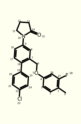 Cc1ccc(OCc2cc(N3CCCC3=O)ccc2-c2ccc(Cl)cc2)cc1F